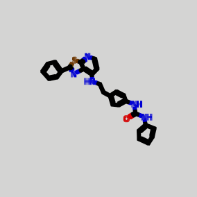 O=C(Nc1ccccc1)Nc1ccc(CCNc2ccnc3sc(-c4ccccc4)nc23)cc1